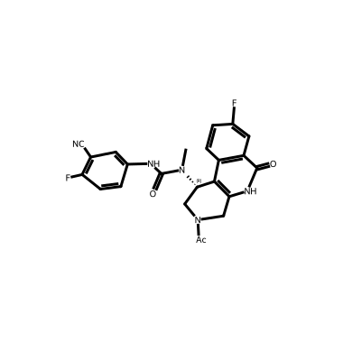 CC(=O)N1Cc2[nH]c(=O)c3cc(F)ccc3c2[C@@H](N(C)C(=O)Nc2ccc(F)c(C#N)c2)C1